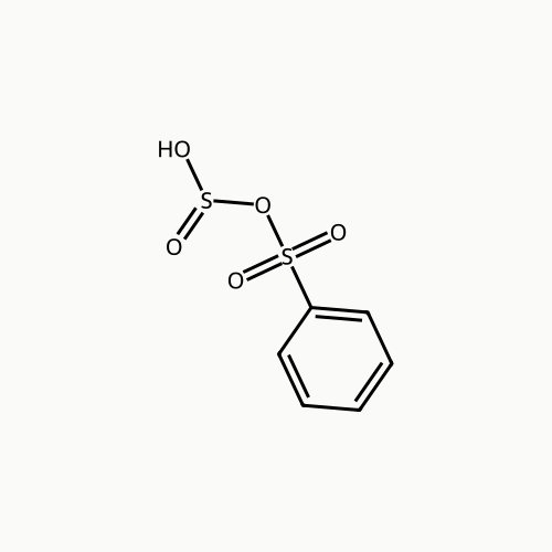 O=S(O)OS(=O)(=O)c1ccccc1